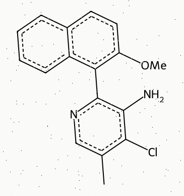 COc1ccc2ccccc2c1-c1ncc(C)c(Cl)c1N